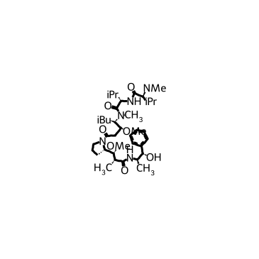 CC[C@H](C)[C@@H]([C@@H](CC(=O)N1CCC[C@H]1[C@H](OC)[C@@H](C)C(=O)N[C@H](C)[C@@H](O)c1ccccc1)OC)N(C)C(=O)[C@@H](NC(=O)[C@@H](NC)C(C)C)C(C)C